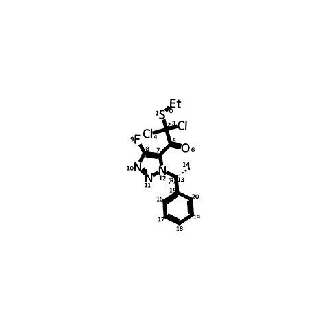 CCSC(Cl)(Cl)C(=O)c1c(F)nnn1[C@H](C)c1ccccc1